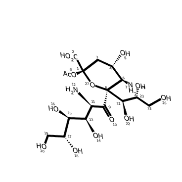 CC(=O)O[C@@]1(C(=O)O)C[C@H](O)[C@@H](N)[C@@](C(=O)[C@H](N)[C@@H](O)[C@H](O)[C@H](O)CO)([C@H](O)[C@H](O)CO)O1